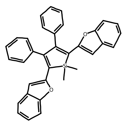 C[Si]1(C)C(c2cc3ccccc3o2)=C(c2ccccc2)C(c2ccccc2)=C1c1cc2ccccc2o1